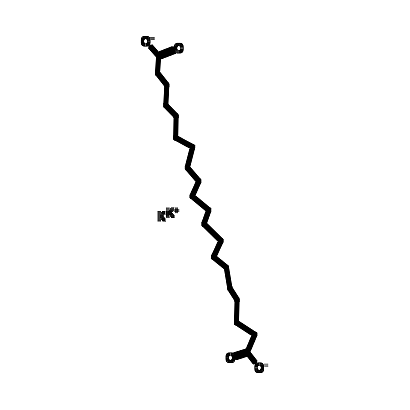 O=C([O-])CCCCCCCCCCCCCCCCCCC(=O)[O-].[K+].[K+]